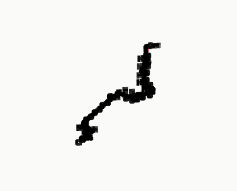 CCCCCCCCCCCCCCCC(=O)Nc1cc(C(=O)Nc2cc(C(=O)NCCC(=O)Nc3cc(C(=O)Nc4ccn(C)c4C(=O)NCCC(=O)Nc4cn(C)c(C(=O)NCCC(=O)NCCCN(C)CCCNC(=O)CCOCCOCCOCCOCCOCCOc5ccc(NC(=O)C[C@@H]6N=C(c7ccc(Cl)cc7)c7c(sc(C)c7C)N(C(C)=N)C6=N)cc5)n4)n(C)c3)n(C)c2)n(C)c1